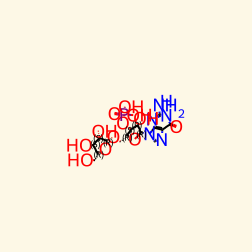 Nc1nc2c(ncn2[C@@H]2O[C@H](CO[C@@H]3O[C@H](CO)[C@@H](O)[C@@H]3O)[C@@H](OP(=O)(O)O)[C@H]2O)c(=O)[nH]1